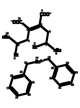 CCCCC(CC)C/C(C(=O)[O-])=C(\CC(CC)CCCC)C(=O)[O-].c1ccc([CH2][Sn+2][CH2]c2ccccc2)cc1